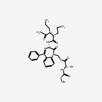 CC(C)[C@H](NC(=O)OC(C)(C)C)C(=O)OCN1C(=O)[C@@H](NC(=O)[C@H](CCC(F)(F)F)[C@H](CCC(F)(F)F)C(N)=O)N=C(c2ccccc2)c2ccccc21